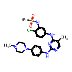 Cc1cnc(Nc2ccc(N3CCN(C)CC3)cc2)nc1Nc1ccc(Cl)c(NS(=O)(=O)C(C)(C)C)c1